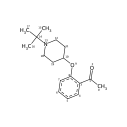 CC(=O)c1ccccc1OC1CCN(C(C)(C)C)CC1